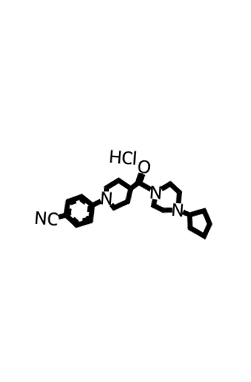 Cl.N#Cc1ccc(N2CCC(C(=O)N3CCN(C4CCCC4)CC3)CC2)cc1